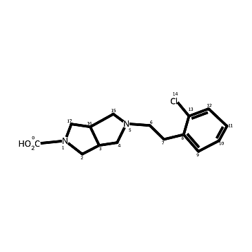 O=C(O)N1CC2CN(CCc3ccccc3Cl)CC2C1